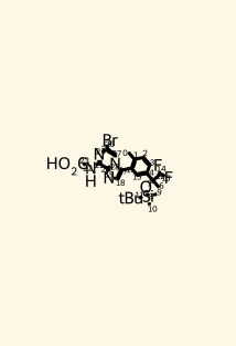 Cc1ccc(C(C)(O[Si](C)(C)C(C)(C)C)C(F)F)cc1-c1cnc2c(NC(=O)O)nc(Br)cn12